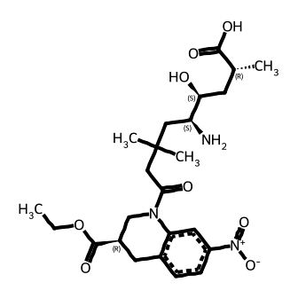 CCOC(=O)[C@@H]1Cc2ccc([N+](=O)[O-])cc2N(C(=O)CC(C)(C)C[C@H](N)[C@@H](O)C[C@@H](C)C(=O)O)C1